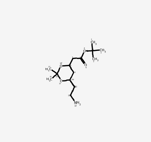 CC(C)(C)OC(=O)CC1CC(CCN)OC(C)(C)O1